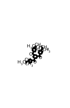 CC(C)(C)c1ccc(C(=O)c2cc(C(=O)c3ccc(C(C)(C)C)cc3)cc(C(=O)c3ccc(C(C)(C)C)cc3)c2)cc1